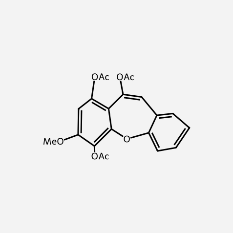 COc1cc(OC(C)=O)c2c(c1OC(C)=O)Oc1ccccc1C=C2OC(C)=O